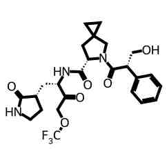 O=C1NCC[C@H]1C[C@H](NC(=O)[C@@H]1CC2(CC2)CN1C(=O)[C@H](CO)c1ccccc1)C(=O)COC(F)(F)F